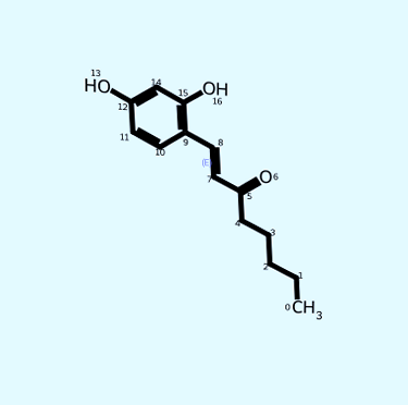 CCCCCC(=O)/C=C/c1ccc(O)cc1O